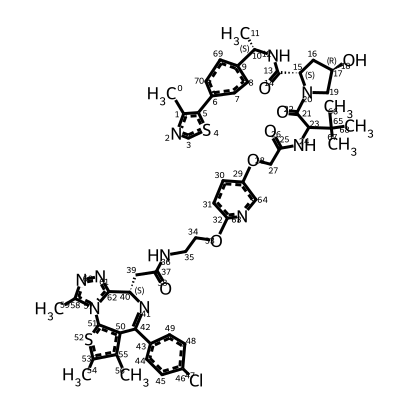 Cc1ncsc1-c1ccc([C@H](C)NC(=O)[C@@H]2C[C@@H](O)CN2C(=O)C(NC(=O)COc2ccc(OCCNC(=O)C[C@@H]3N=C(c4ccc(Cl)cc4)c4c(sc(C)c4C)-n4c(C)nnc43)nc2)C(C)(C)C)cc1